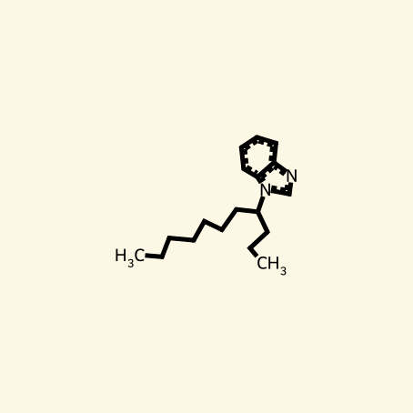 CCCCCCCC(CCC)n1cnc2ccccc21